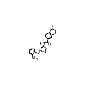 O=C(Nc1cnn(Cc2ccccc2C(F)(F)F)c1)c1ccc2c(c1)CCNC2